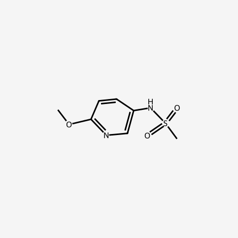 COc1ccc(NS(C)(=O)=O)cn1